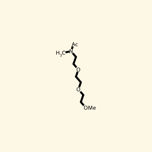 COCCOCCOCCN(C)C(C)=O